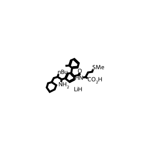 CCCCC(CC1CCCCC1)C(N)c1ccc(C(=O)NC(CCSC)C(=O)O)c(-c2ccccc2C)c1.[LiH]